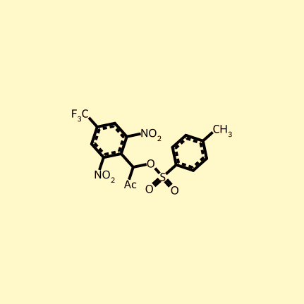 CC(=O)C(OS(=O)(=O)c1ccc(C)cc1)c1c([N+](=O)[O-])cc(C(F)(F)F)cc1[N+](=O)[O-]